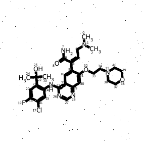 CN(C)CC=C(C(N)=O)c1cc2c(Nc3cc(Cl)c(F)cc3C(C)(C)O)ncnc2cc1OCCN1CCOCC1